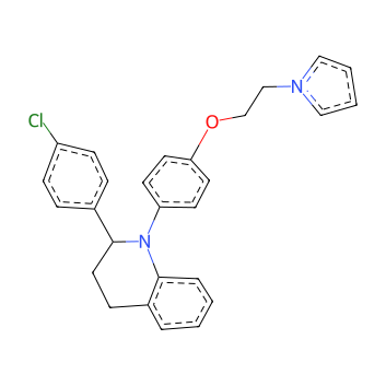 Clc1ccc(C2CCc3ccccc3N2c2ccc(OCCn3cccc3)cc2)cc1